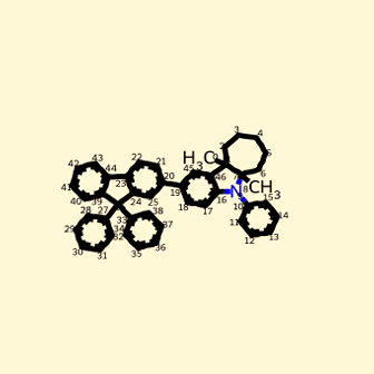 CC12CCCCCC1(C)N(c1ccccc1)c1ccc(-c3ccc4c(c3)C(c3ccccc3)(c3ccccc3)c3ccccc3-4)cc12